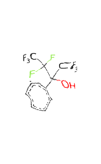 OC(c1[c]cccc1)(C(F)(F)F)C(F)(F)C(F)(F)F